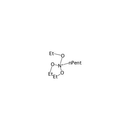 CCCCC[N+](OCC)(OCC)OCC